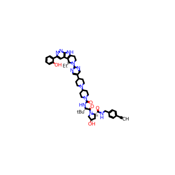 C#Cc1ccc(CNC(=O)[C@@H]2C[C@@H](O)CN2C(=O)[C@@H](NC(=O)N2CCC(N3CCC(c4cnc(N5CCc6[nH]c7nnc(-c8ccccc8O)cc7c6[C@H]5CC)nc4)CC3)CC2)C(C)(C)C)cc1